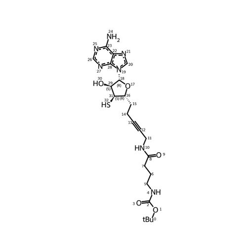 CC(C)(C)OC(=O)NCCCC(=O)NCC#CCC[C@H]1O[C@@H](n2cnc3c(N)ncnc32)[C@H](O)[C@@H]1S